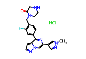 Cl.Cn1cc(-c2cn3nccc3c(-c3ccc(CN4CCNCC4=O)c(F)c3)n2)cn1